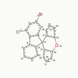 Clc1cc(Br)cc2c1-c1ccccc1C21c2ccccc2Oc2ccccc21